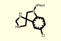 CCCCCN1CC2(CNCN2)c2cc(Cl)ccc21